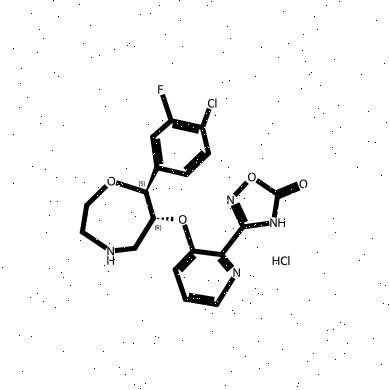 Cl.O=c1[nH]c(-c2ncccc2O[C@@H]2CNCCO[C@H]2c2ccc(Cl)c(F)c2)no1